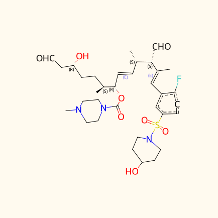 C/C(=C\c1cc(S(=O)(=O)N2CCC(O)CC2)ccc1F)[C@@H](C=O)[C@@H](C)/C=C/[C@H](OC(=O)N1CCN(C)CC1)[C@@H](C)CC[C@@H](O)CC=O